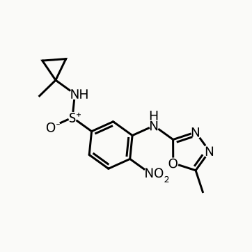 Cc1nnc(Nc2cc([S+]([O-])NC3(C)CC3)ccc2[N+](=O)[O-])o1